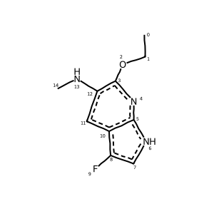 CCOc1nc2[nH]cc(F)c2cc1NC